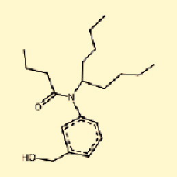 CCCCC(CCCC)N(C(=O)CCC)c1cccc(CO)c1